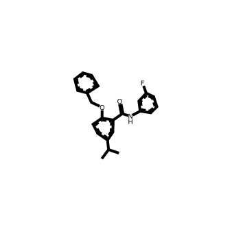 CC(C)c1ccc(OCc2ccccc2)c(C(=O)Nc2cccc(F)c2)c1